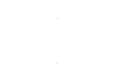 C1=C(N2CCC2)NOc2c1ccc1ncccc21